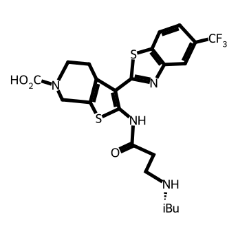 CC[C@@H](C)NCCC(=O)Nc1sc2c(c1-c1nc3cc(C(F)(F)F)ccc3s1)CCN(C(=O)O)C2